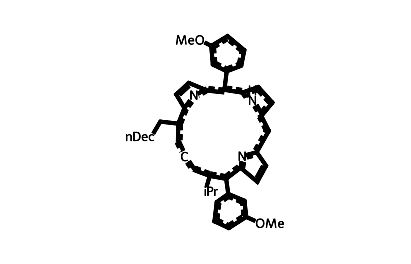 CCCCCCCCCCCc1cccc(C(C)C)c(-c2cccc(OC)c2)c2nc(cc3ccc([nH]3)c(-c3cccc(OC)c3)c3nc1C=C3)C=C2